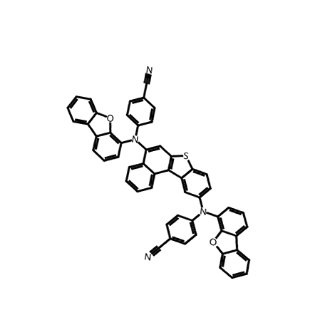 N#Cc1ccc(N(c2ccc3sc4cc(N(c5ccc(C#N)cc5)c5cccc6c5oc5ccccc56)c5ccccc5c4c3c2)c2cccc3c2oc2ccccc23)cc1